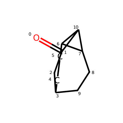 O=C1CC2CCC3C(CC2)C13